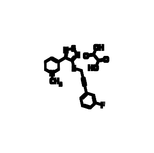 CN1CCC=C(c2nsnc2SCC#Cc2cccc(F)c2)C1.O=C(O)C(=O)O